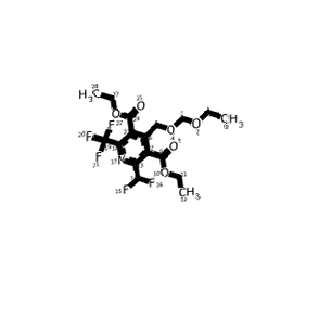 CCOCOCc1c(C(=O)OCC)c(C(F)F)nc(C(F)(F)F)c1C(=O)OCC